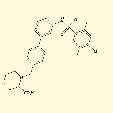 Cc1cc(S(=O)(=O)Nc2cccc(-c3ccc(CN4CCOCC4C(=O)O)cc3)c2)c(C)cc1Cl